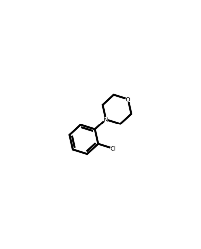 Clc1ccccc1N1CCOCC1